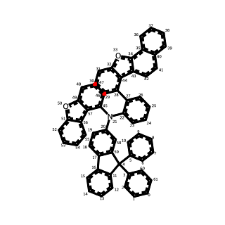 c1ccc(C2(c3ccccc3)c3ccccc3-c3ccc(N(c4ccccc4-c4cccc5oc6c7ccccc7ccc6c45)c4cccc5oc6ccccc6c45)cc32)cc1